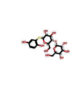 OC[C@H]1O[C@H](O[C@H]2[C@H](O)[C@@H](O)[C@H](Sc3cc(O)ccc3O)O[C@@H]2CO)[C@H](O)[C@@H](O)[C@@H]1O